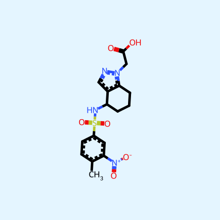 Cc1ccc(S(=O)(=O)NC2CCCc3c2cnn3CC(=O)O)cc1[N+](=O)[O-]